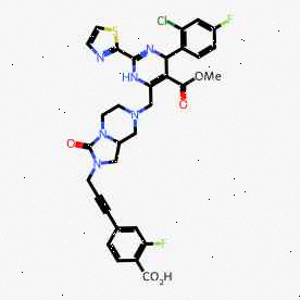 COC(=O)C1=C(CN2CCN3C(=O)N(CC#Cc4ccc(C(=O)O)c(F)c4)CC3C2)NC(c2nccs2)=NC1c1ccc(F)cc1Cl